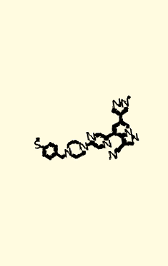 CSc1ccc(CN2CCN(c3cnc(-c4cc(-c5cnn(C)c5)cn5ncc(C#N)c45)cn3)CC2)cc1